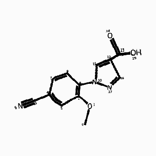 COc1cc(C#N)ccc1-n1cc(C(=O)O)cn1